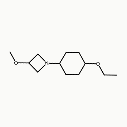 CCOC1CCC(N2CC(OC)C2)CC1